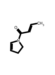 CC=CC(=O)N1C=CCC1